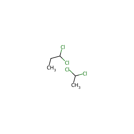 CC(Cl)Cl.CCC(Cl)Cl